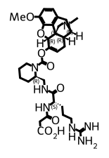 COc1ccc2c3c1O[C@H]1C(OC(=O)N4CCCC[C@@H]4CNC(=O)[C@H](CCCNC(=N)N)NC(=O)CC(=O)O)=CC[C@H]4[C@@H](C2)N(C)CC[C@]314